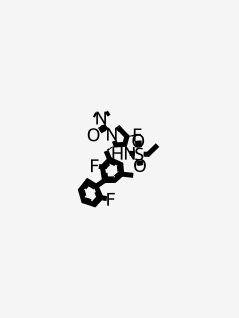 CCS(=O)(=O)N[C@H]1[C@@H](F)CN(C(=O)N(C)C)[C@H]1Cc1cc(C)cc(-c2ccccc2F)c1F